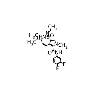 CCN=S1(=O)N[C@@H](C(C)C)C=Cc2c1cn(C)c2C(=O)Nc1ccc(F)c(F)c1